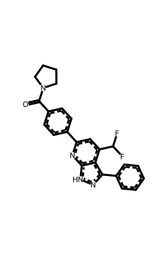 O=C(c1ccc(-c2cc(C(F)F)c3c(-c4ccccc4)n[nH]c3n2)cc1)N1CCCC1